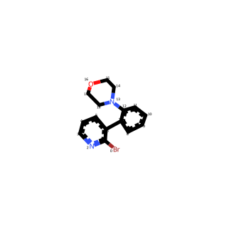 Brc1ncc[c]c1-c1ccccc1N1CCOCC1